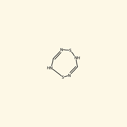 C1=N\SN/C=N\SN/1